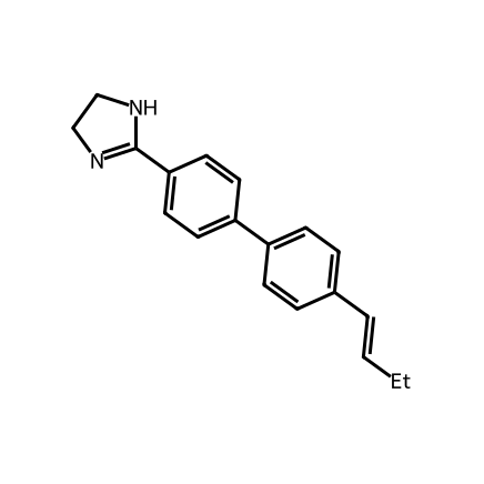 CC/C=C/c1ccc(-c2ccc(C3=NCCN3)cc2)cc1